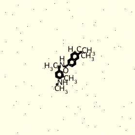 CCNc1ccc([C@@H](C)NC(=O)c2ccc3cc(C(C)(C)C)ccc3c2)cc1C